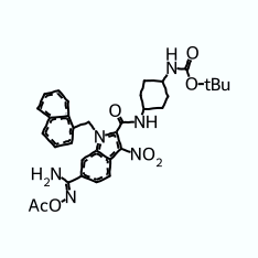 CC(=O)ON=C(N)c1ccc2c([N+](=O)[O-])c(C(=O)NC3CCC(NC(=O)OC(C)(C)C)CC3)n(Cc3cccc4ccccc34)c2c1